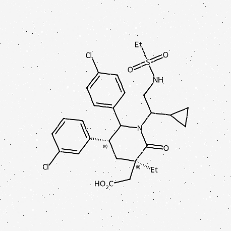 CC[C@]1(CC(=O)O)C[C@H](c2cccc(Cl)c2)C(c2ccc(Cl)cc2)N(C(CNS(=O)(=O)CC)C2CC2)C1=O